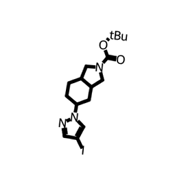 CC(C)(C)OC(=O)N1CC2CCC(n3cc(I)cn3)CC2C1